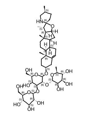 C[C@H]1CC[C@@]2(NC1)O[C@H]1C[C@H]3[C@@H]4CC=C5C[C@@H](O[C@@H]6O[C@H](CO)[C@H](O)[C@H](O[C@@H]7O[C@H](CO)[C@@H](O)[C@H](O)[C@H]7O)[C@H]6O[C@@H]6O[C@@H](C)[C@H](O)[C@@H](O)[C@H]6O)CC[C@]5(C)[C@H]4CC[C@]3(C)[C@H]1[C@@H]2C